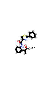 C=C(C(=O)OC)c1ccccc1NC(=O)c1csc(-c2ccccc2)n1